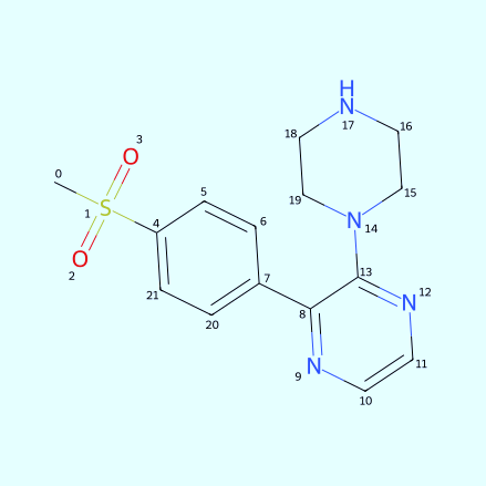 CS(=O)(=O)c1ccc(-c2nccnc2N2CCNCC2)cc1